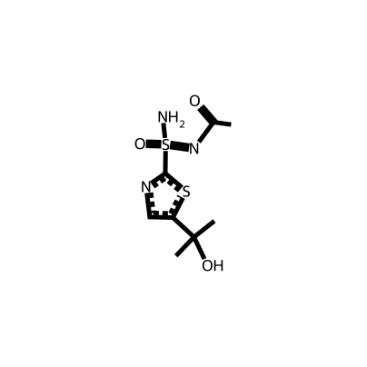 CC(=O)N=S(N)(=O)c1ncc(C(C)(C)O)s1